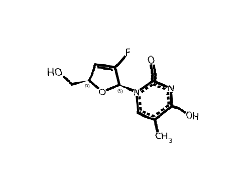 Cc1cn([C@H]2O[C@@H](CO)C=C2F)c(=O)nc1O